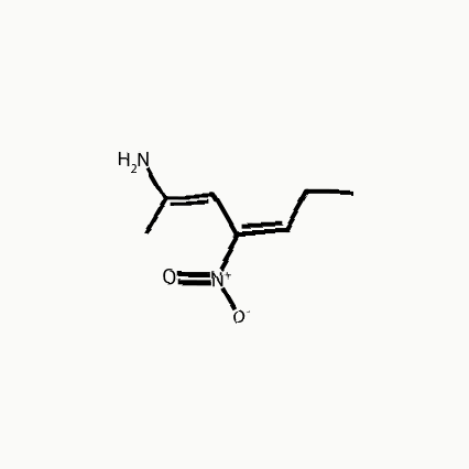 CC/C=C(\C=C(/C)N)[N+](=O)[O-]